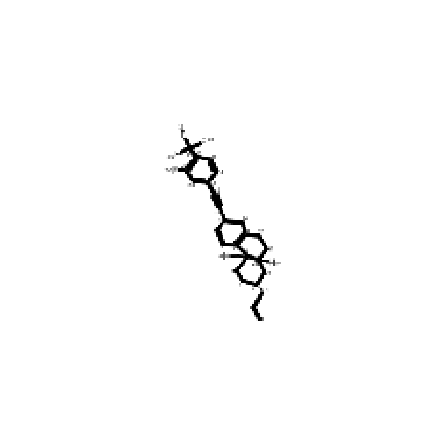 CCC[C@@H]1CC[C@@H]2c3ccc(C#Cc4ccc(C(F)(F)F)c(F)c4)cc3CC[C@@H]2C1